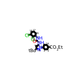 CCOC(=O)c1ccc(-n2nc(C(C)(C)C)cc2NC(=O)Nc2cccc(Cl)c2Cl)cc1